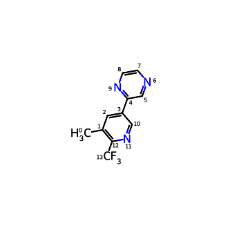 Cc1cc(-c2cnccn2)cnc1C(F)(F)F